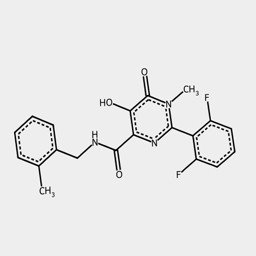 Cc1ccccc1CNC(=O)c1nc(-c2c(F)cccc2F)n(C)c(=O)c1O